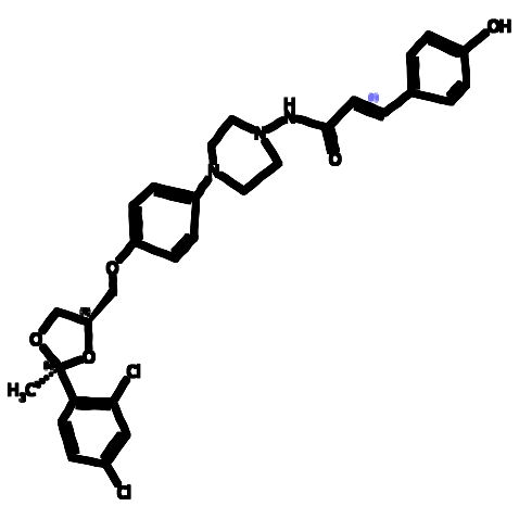 C[C@]1(c2ccc(Cl)cc2Cl)OC[C@@H](COc2ccc(N3CCN(NC(=O)/C=C/c4ccc(O)cc4)CC3)cc2)O1